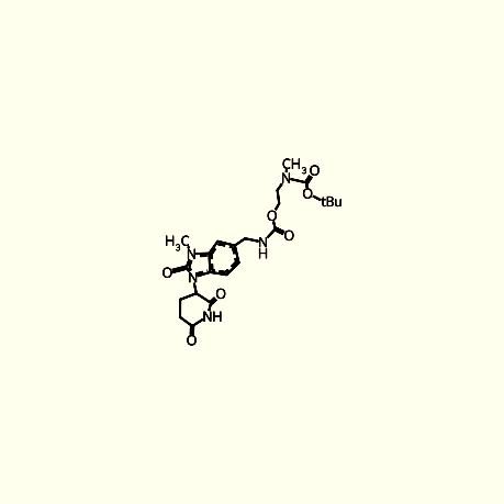 CN(CCOC(=O)NCc1ccc2c(c1)n(C)c(=O)n2C1CCC(=O)NC1=O)C(=O)OC(C)(C)C